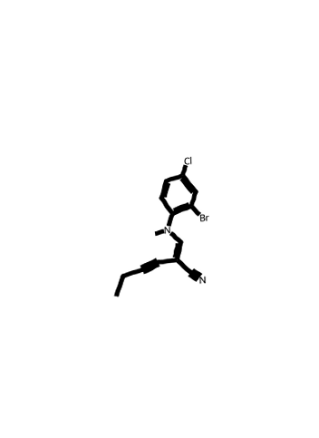 CCC#C/C(C#N)=C\N(C)c1ccc(Cl)cc1Br